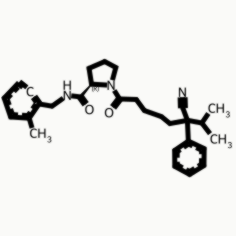 Cc1ccccc1CNC(=O)[C@H]1CCCN1C(=O)CCCCC(C#N)(c1ccccc1)C(C)C